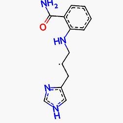 NC(=O)c1ccccc1NC[CH]Cc1c[nH]cn1